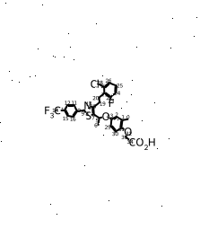 Cc1cc(OC(C)c2sc(-c3ccc(C(F)(F)F)cc3)nc2CCc2c(F)cccc2Cl)ccc1OCC(=O)O